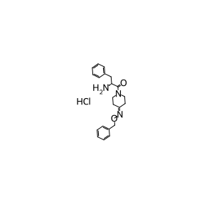 Cl.N[C@@H](Cc1ccccc1)C(=O)N1CCC(=NOCc2ccccc2)CC1